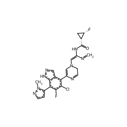 C=N/C(=C\N1C=C(c2c(Cl)c(F)c(-c3ccnn3C)c3[nH]ncc23)N=CC1)NC(=O)[C@@H]1C[C@@H]1F